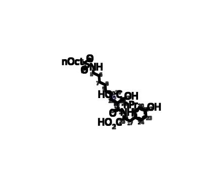 CCCCCCCCS(=O)(=O)NCCCCC/C=C/[C@H](C(=O)N[C@@H](Cc1ccc(O)cc1)C(=O)O)[C@@](O)(CCC)C(=O)O